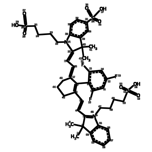 CC1(C)C(/C=C/C2=C(c3c(F)cc(F)cc3F)C(=C/C=C3/N(CCCCS(=O)(=O)O)c4ccc(S(=O)(=O)O)cc4C3(C)C)/CCC2)=[N+](CCCCS(=O)(=O)O)c2ccccc21